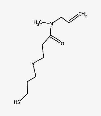 C=CCN(C)C(=O)CCSCCCS